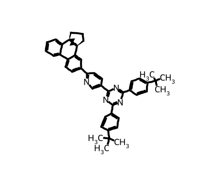 CC(C)(C)c1ccc(-c2nc(-c3ccc(C(C)(C)C)cc3)nc(-c3ccc(-c4ccc5c(c4)[C@]46CCC[C@]4(CCC6)c4ccccc4-5)nc3)n2)cc1